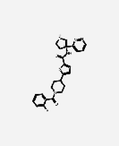 O=C(N[C@@]1(c2cccnn2)CCNC1)c1ccc(C2CCN(C(=O)c3ccccc3F)CC2)s1